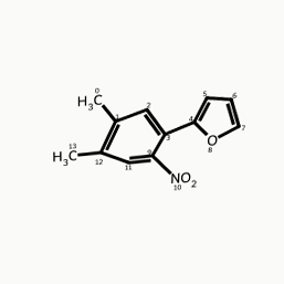 Cc1cc(-c2ccco2)c([N+](=O)[O-])cc1C